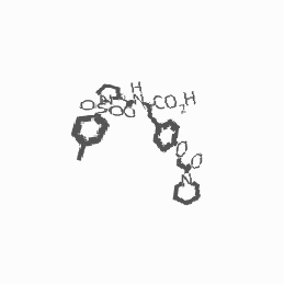 Cc1ccc(S(=O)(=O)N2CCC[C@H]2C(=O)N[C@@H](Cc2ccc(OCC(=O)N3CCCCC3)cc2)C(=O)O)cc1